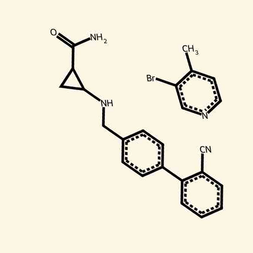 Cc1ccncc1Br.N#Cc1ccccc1-c1ccc(CNC2CC2C(N)=O)cc1